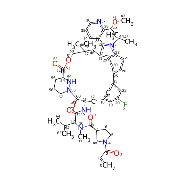 C=CC(=O)N1CC[C@H](C(=O)N(C)C(C(=O)N[C@H]2Cc3cc(F)cc(c3)-c3ccc4c(c3)c(c(-c3cccnc3[C@H](C)OC)n4CC)CC(C)(C)COC(=O)[C@@H]3CCCN(N3)C2=O)C(C)C)C1